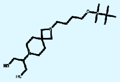 CC(C)(C)[Si](C)(C)OCCCCN1CC2(CCN(C(CO)CO)CC2)C1